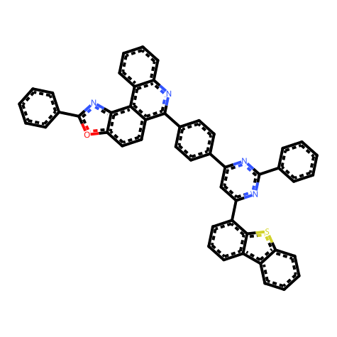 c1ccc(-c2nc(-c3ccc(-c4nc5ccccc5c5c4ccc4oc(-c6ccccc6)nc45)cc3)cc(-c3cccc4c3sc3ccccc34)n2)cc1